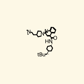 CN(C)CCC1CCN(c2cc(C(=O)NC[C@H]3CC[C@H]([CH]C(C)(C)C)CC3)c3ccccc3n2)CC1